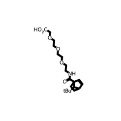 CC(C)(C)C1C2C=CC1(C(=O)NCCOCCOCCOCC(=O)O)CC2